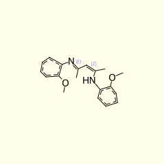 COc1ccccc1/N=C(C)/C=C(/C)Nc1ccccc1OC